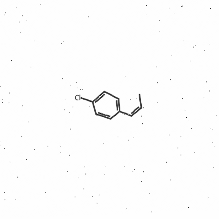 C/[C]=C\c1ccc(Cl)cc1